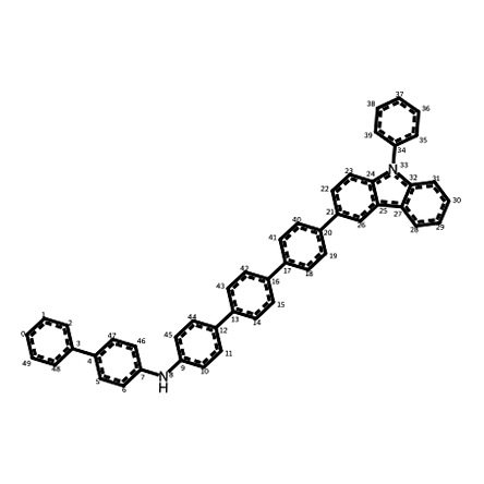 c1ccc(-c2ccc(Nc3ccc(-c4ccc(-c5ccc(-c6ccc7c(c6)c6ccccc6n7-c6ccccc6)cc5)cc4)cc3)cc2)cc1